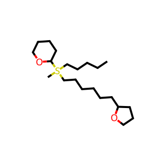 CCCCCS(C)(CCCCCCC1CCCO1)C1CCCCO1